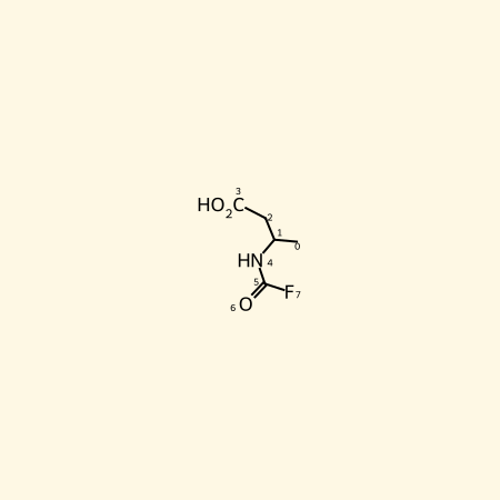 CC(CC(=O)O)NC(=O)F